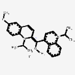 CO/C(=C1/C=Cc2cc(OC)ccc2N1C(C)C)c1cc[n+](C(C)C)c2ccccc12.[I-]